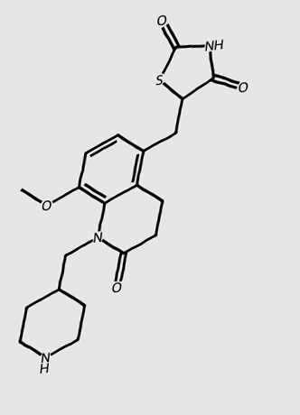 COc1ccc(CC2SC(=O)NC2=O)c2c1N(CC1CCNCC1)C(=O)CC2